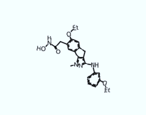 CCOc1cccc(Nc2nn(C)c3c2Cc2cc(OCC)c(CC(=O)NO)cc2-3)c1